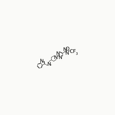 CN(Cc1cn(C)c2ccccc12)CC1CCN(c2ncc(-c3noc(C(F)(F)F)n3)cn2)CC1